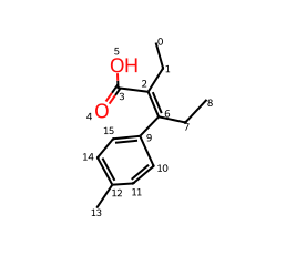 CCC(C(=O)O)=C(CC)c1ccc(C)cc1